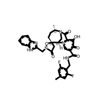 Cc1cc(F)c(CNC(=O)c2cn3c(c(O)c2=O)C(=O)N2C[C@@H]3[C@]3(CC[C@@H]2C)CC(=O)N(Cc2nc4ccccc4[nH]2)O3)c(F)c1